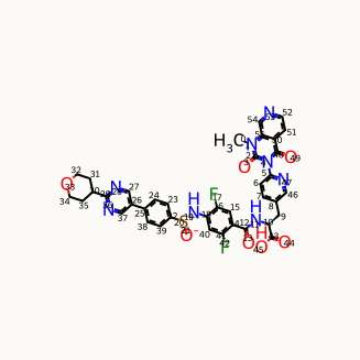 Cn1c(=O)n(-c2ccc(C[C@H](NC(=O)c3cc(F)c(N[S+]([O-])c4ccc(-c5cnc(C6CCOCC6)nc5)cc4)cc3F)C(=O)O)cn2)c(=O)c2ccncc21